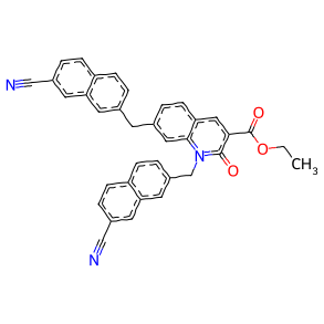 CCOC(=O)c1cc2ccc(Cc3ccc4ccc(C#N)cc4c3)cc2n(Cc2ccc3ccc(C#N)cc3c2)c1=O